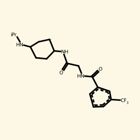 CC(C)NC1C[CH]C(NC(=O)CNC(=O)c2cccc(C(F)(F)F)c2)CC1